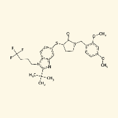 COc1ccc(CN2CCC(Sc3ccc4c(c3)nc(C(C)(C)C)n4CCCC(F)(F)F)C2=O)c(OC)c1